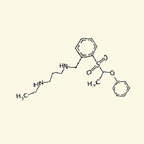 CCNCCCNCc1ccccc1S(=O)(=O)C(C)Oc1ccccc1